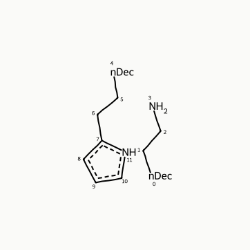 CCCCCCCCCCCCN.CCCCCCCCCCCCc1ccc[nH]1